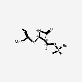 CC=C(SC)S[C@H]1NC(=O)[C@@H]1[C@@H](C)O[Si](C)(C)C(C)(C)C